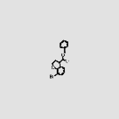 O=C(OCc1ccccc1)C1CCOc2c(Br)cccc21